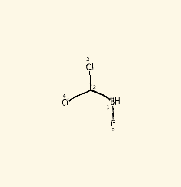 FBC(Cl)Cl